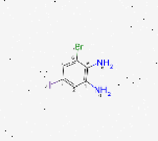 Nc1cc(I)cc(Br)c1N